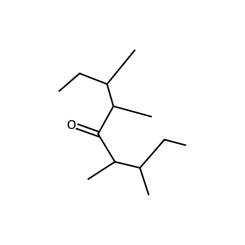 CCC(C)C(C)C(=O)C(C)C(C)CC